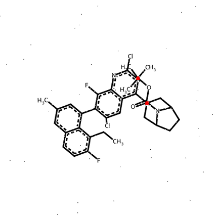 CCc1c(F)ccc2cc(C)cc(-c3c(Cl)cc4c(N5CC6CCC(C5)N6C(=O)OC(C)(C)C)nc(Cl)nc4c3F)c12